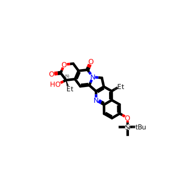 CCc1c2c(nc3ccc(O[Si](C)(C)C(C)(C)C)cc13)-c1cc3c(c(=O)n1C2)COC(=O)[C@]3(O)CC